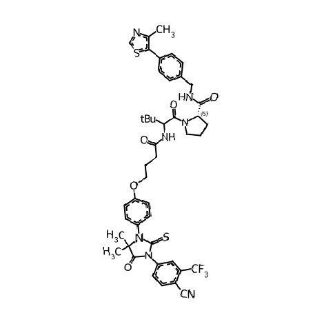 Cc1ncsc1-c1ccc(CNC(=O)[C@@H]2CCCN2C(=O)C(NC(=O)CCCOc2ccc(N3C(=S)N(c4ccc(C#N)c(C(F)(F)F)c4)C(=O)C3(C)C)cc2)C(C)(C)C)cc1